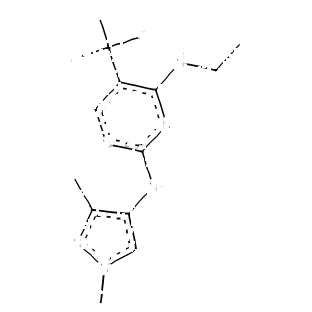 CCNc1nc(Nc2cn(C)nc2C)ncc1C(F)(F)F